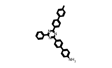 Cc1ccc(-c2ccc(-c3nc(-c4ccccc4)nc(-c4ccc(-c5ccc(N)cc5)cc4)n3)cc2)cc1